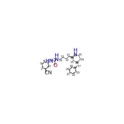 N#Cc1cccc(NC(=O)NCCCC[C@@H]2C[C@@H](Cc3ccccc3)CCN2)c1